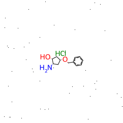 Cl.N[C@H]1C[C@@H](OCc2ccccc2)C[C@H]1O